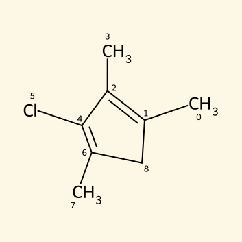 CC1=C(C)C(Cl)=C(C)C1